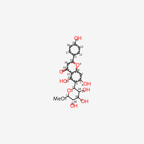 COC1OC(c2c(O)cc3oc(-c4ccc(O)cc4)cc(=O)c3c2O)C(O)C(O)[C@@H]1O